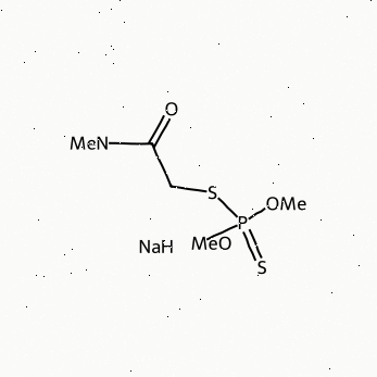 CNC(=O)CSP(=S)(OC)OC.[NaH]